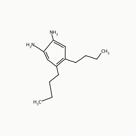 CCCCc1cc(N)c(N)cc1CCCC